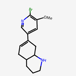 COc1cc(C2=CCC3CCCNC3C2)cnc1Br